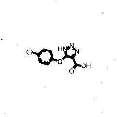 O=C(O)c1nn[nH]c1Oc1ccc(Cl)cc1